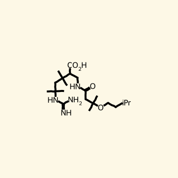 CC(C)CCOC(C)(C)CC(=O)NCC(C(=O)O)C(C)(C)CC(C)(C)NC(=N)N